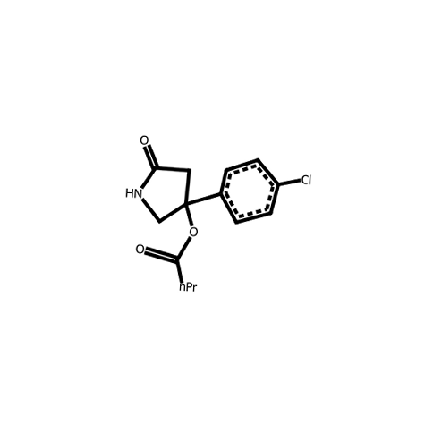 CCCC(=O)OC1(c2ccc(Cl)cc2)CNC(=O)C1